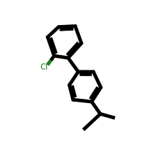 CC(C)c1ccc(-c2ccccc2Cl)cc1